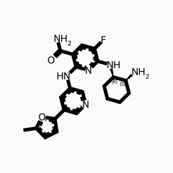 Cc1ccc(-c2cncc(Nc3nc(N[C@@H]4CCCC[C@@H]4N)c(F)cc3C(N)=O)c2)o1